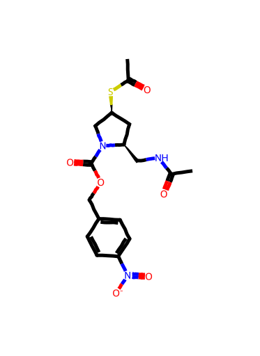 CC(=O)NC[C@@H]1C[C@H](SC(C)=O)CN1C(=O)OCc1ccc([N+](=O)[O-])cc1